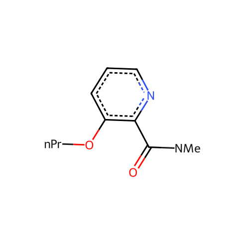 CCCOc1cccnc1C(=O)NC